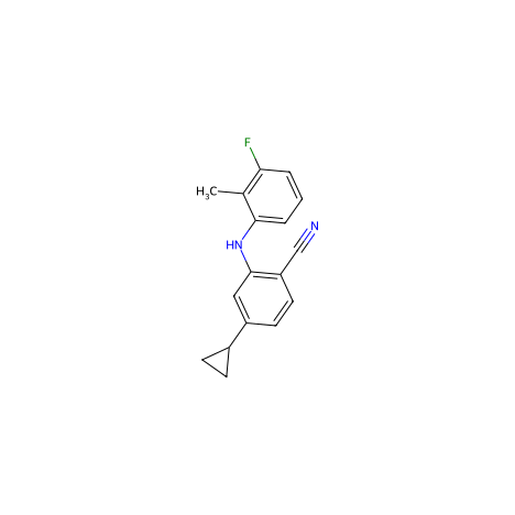 Cc1c(F)cccc1Nc1cc(C2CC2)ccc1C#N